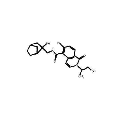 C[C@H](CO)n1ccc2c(C(=O)NCC3(O)CC4CCC3C4)c(Cl)ccc2c1=O